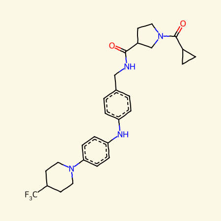 O=C(NCc1ccc(Nc2ccc(N3CCC(C(F)(F)F)CC3)cc2)cc1)C1CCN(C(=O)C2CC2)C1